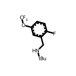 CC(C)(C)NCc1cc(OC(F)(F)F)ccc1F